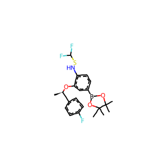 C[C@@H](Oc1cc(B2OC(C)(C)C(C)(C)O2)ccc1NSC(F)F)c1ccc(F)cc1